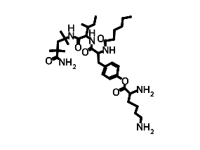 CCCCCC(=O)NC(Cc1ccc(OC(=O)C(N)CCCCN)cc1)C(=O)NC(C(=O)NC(C)(C)CC(C)(C)C(N)=O)C(C)CC